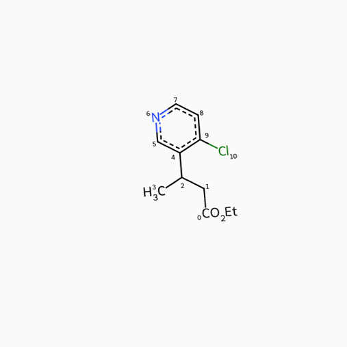 CCOC(=O)CC(C)c1cnccc1Cl